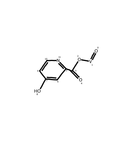 [O]=[V][O]C(=O)c1cc(O)ccn1